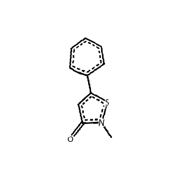 Cn1sc(-c2ccccc2)cc1=O